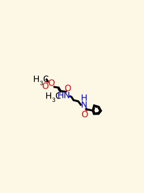 CC(=O)OC/C=C(\C)C(=O)NCCCCNC(=O)c1ccccc1